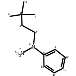 CC(C)(C)CCN(N)c1ccccc1